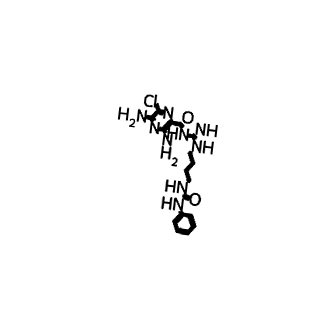 N=C(NCCCCNC(=O)Nc1ccccc1)NC(=O)c1nc(Cl)c(N)nc1N